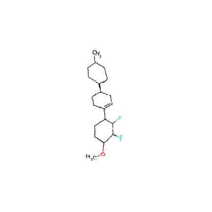 COC1CCC(C2=CC[C@H](C3CCC(C)CC3)CC2)C(F)C1F